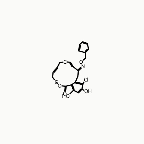 O=C1OCC/C=C/CC/C=C/C(=N\OCc2ccccc2)Cc2c(Cl)c(O)cc(O)c21